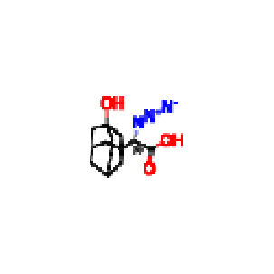 [N-]=[N+]=N[C@H](C(=O)O)C12CC3CC(CC(O)(C3)C1)C2